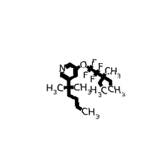 CCCCC(C)(C)c1cncc(OC(F)(F)C(F)(F)C(C)(CC)CC)c1